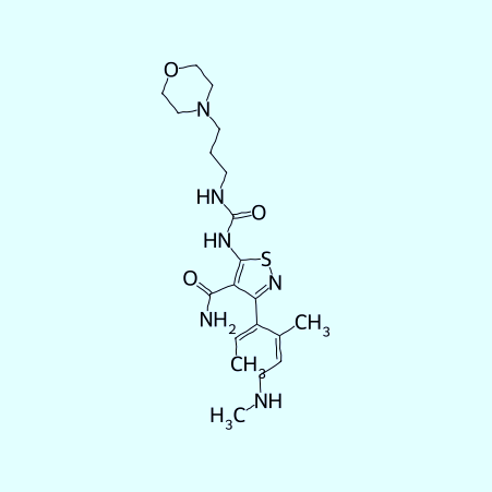 C/C=C(\C(C)=C/CNC)c1nsc(NC(=O)NCCCN2CCOCC2)c1C(N)=O